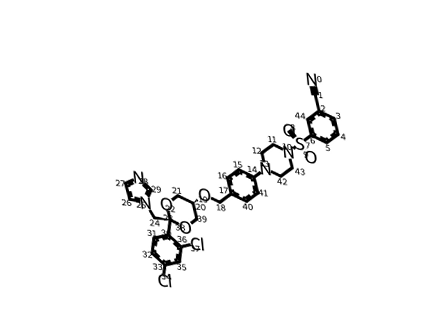 N#Cc1cccc(S(=O)(=O)N2CCN(c3ccc(CO[C@H]4CO[C@@](Cn5ccnc5)(c5ccc(Cl)cc5Cl)OC4)cc3)CC2)c1